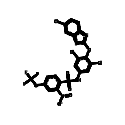 O=[N+]([O-])c1cc(OC(F)(F)F)ccc1S(=O)(=O)Nc1cc(Cl)c(Oc2nc3ccc(Cl)cc3s2)c(Cl)c1